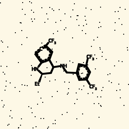 CC[C@@H]1CC(NCc2cc(C(F)(F)F)cc(C(F)(F)F)c2)c2cc(C(F)(F)F)ccc2N1